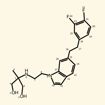 CC(CO)(CO)NCCn1ccc2ccc(CCc3ccc(F)c(F)c3)cc21